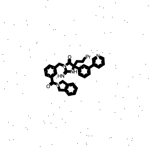 CC(C)CCC1(c2cccc(-c3cccnc3)c2)NC(=N)N(Cc2cccc(C(=O)N3Cc4ccccc4C3)c2)C1=O